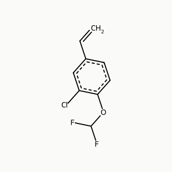 C=Cc1ccc(OC(F)F)c(Cl)c1